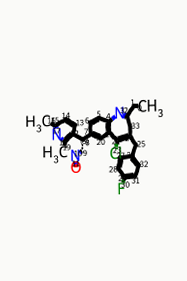 CCC1=Nc2ccc([C@H](CN=O)c3ccc(C)nc3C)cc2C(Cl)=C(Cc2ccc(F)cc2)C1